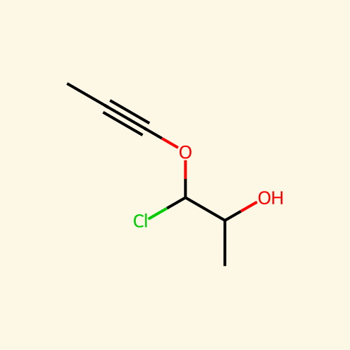 CC#COC(Cl)C(C)O